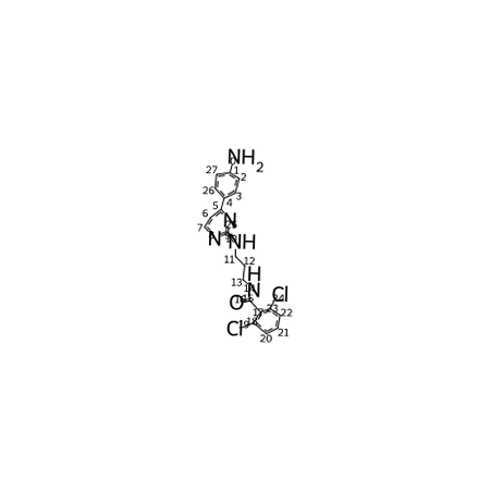 Nc1ccc(-c2ccnc(NCCCNC(=O)c3c(Cl)cccc3Cl)n2)cc1